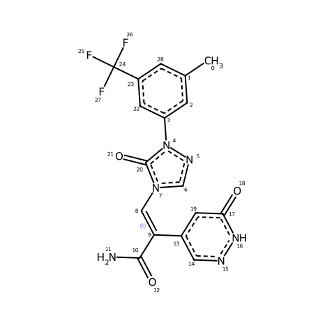 Cc1cc(-n2ncn(/C=C(/C(N)=O)c3cn[nH]c(=O)c3)c2=O)cc(C(F)(F)F)c1